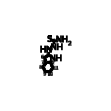 NC(=S)NNc1cc2ccccc2[nH]1